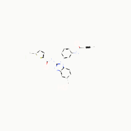 CC#CC(=O)Nc1cccc(-n2c(NC(=O)c3ccc(C(F)F)s3)nc3cc(CO)ccc32)c1